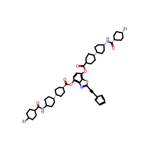 CCC1CCC(C(=O)NC2CCC([C@H]3CC[C@H](C(=O)Oc4ccc(OC(=O)C5CCC([C@H]6CC[C@@H](NC(=O)[C@H]7CC[C@@H](CC)CC7)CC6)CC5)c5sc(C#Cc6ccccc6)nc45)CC3)CC2)CC1